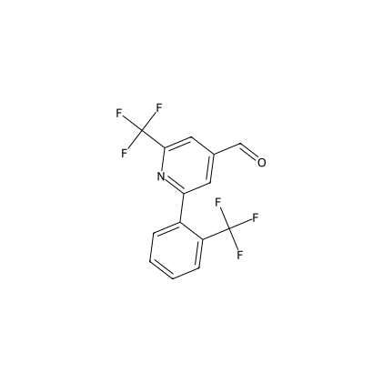 O=Cc1cc(-c2ccccc2C(F)(F)F)nc(C(F)(F)F)c1